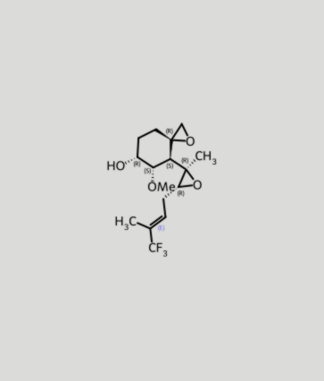 CO[C@@H]1[C@H](O)CC[C@]2(CO2)[C@H]1[C@@]1(C)O[C@@H]1C/C=C(\C)C(F)(F)F